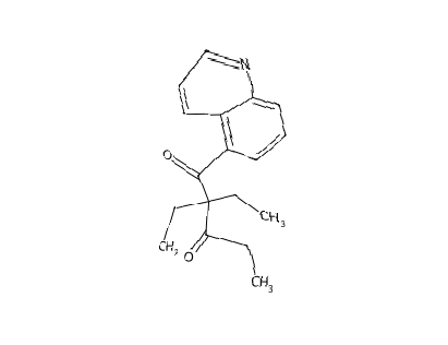 CCC(=O)C(CC)(CC)C(=O)c1cccc2ncccc12